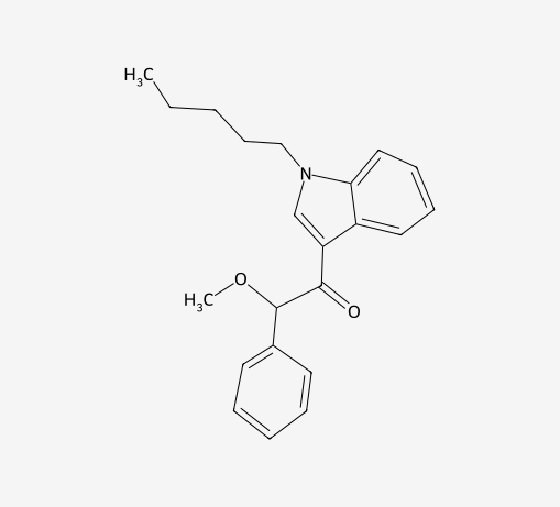 CCCCCn1cc(C(=O)C(OC)c2ccccc2)c2ccccc21